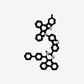 CC1C=Cc2sc3c(c2C1)c1ccccc1c1c2ccccc2n(-c2ccc4sc5ccc(C6=Nc7c(c8ccccc8c8ccccc78)C(c7ccc(-c8ccccc8)cc7)N6C)cc5c4c2)c31